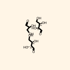 O=CC(O)CO.O=C[C@@H](O)[C@H](O)CO.O=C[C@H](O)[C@H](O)CO